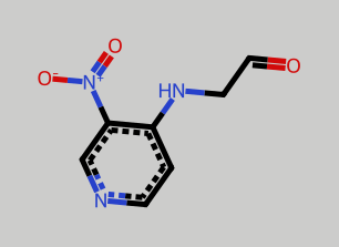 O=CCNc1ccncc1[N+](=O)[O-]